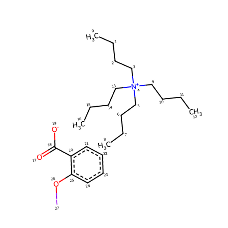 CCCC[N+](CCCC)(CCCC)CCCC.O=C([O-])c1ccccc1OI